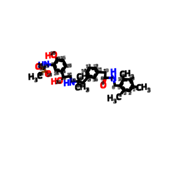 Cc1cc(C)c(CNC(=O)Cc2cccc(CC(C)(C)NC[C@H](O)c3ccc(O)c(NS(C)(=O)=O)c3)c2)c(C)c1